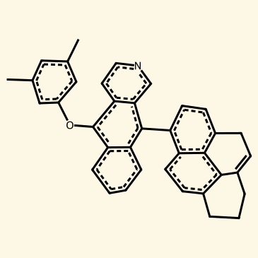 Cc1cc(C)cc(Oc2c3ccccc3c(-c3ccc4c5c6c(ccc35)CCCC6=CC4)c3cnccc23)c1